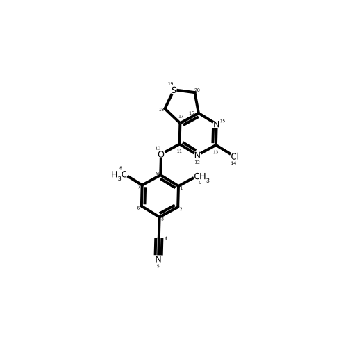 Cc1cc(C#N)cc(C)c1Oc1nc(Cl)nc2c1CSC2